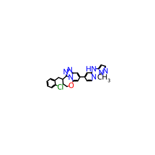 Cn1nccc1Nc1cc(-c2cc3n4c(nnc4c2)C(Cc2ccccc2Cl)CCO3)ccn1